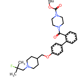 CC(C)(F)CN1CCC(COc2ccc(-c3ccccc3C(=O)N3CCN(C(=O)OC(C)(C)C)CC3)cc2)CC1